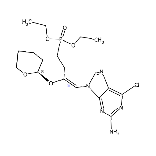 CCOP(=O)(CC/C(=C\n1cnc2c(Cl)nc(N)nc21)O[C@@H]1CCCCO1)OCC